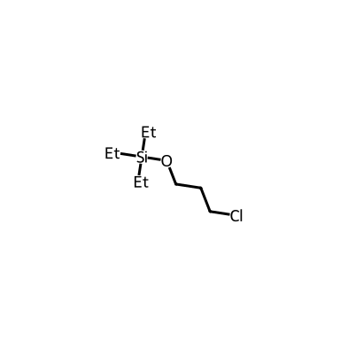 CC[Si](CC)(CC)OCCCCl